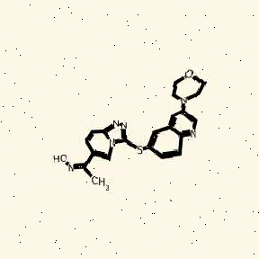 C/C(=N/O)c1ccc2nnc(Sc3ccc4ncc(N5CCOCC5)cc4c3)n2c1